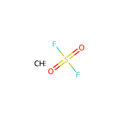 O=S(=O)(F)F.[CH]